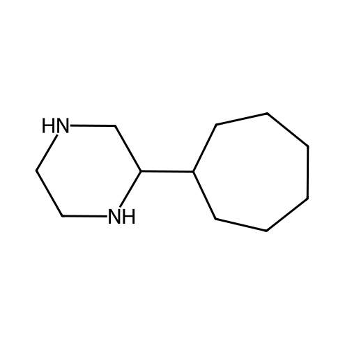 C1CCCC(C2CNCCN2)CC1